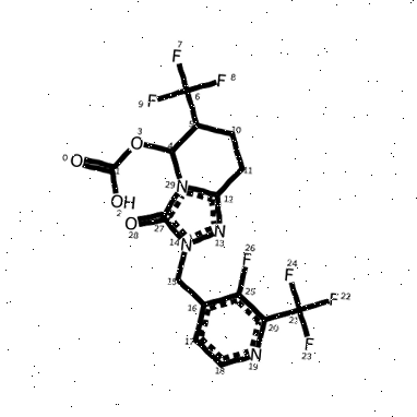 O=C(O)OC1C(C(F)(F)F)CCc2nn(Cc3ccnc(C(F)(F)F)c3F)c(=O)n21